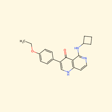 CCOc1ccc(-c2c[nH]c3ccnc(NC4CCC4)c3c2=O)cc1